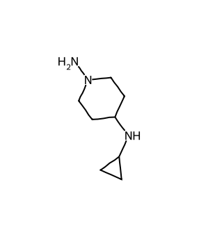 NN1CCC(NC2CC2)CC1